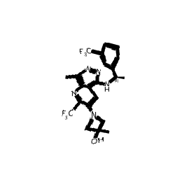 Cc1nnc(N[C@H](C)c2cccc(C(F)(F)F)c2)c2cc(N3CC(C)(O)C3)c(C(F)(F)F)nc12